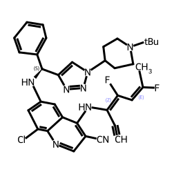 C#C/C(Nc1c(C#N)cnc2c(Cl)cc(N[C@@H](c3ccccc3)c3cn(C4CCN(C(C)(C)C)CC4)nn3)cc12)=C(F)\C=C(/C)F